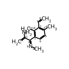 C=Cc1c(C)ccc(/C(=N\C)C(=C)N)c1C